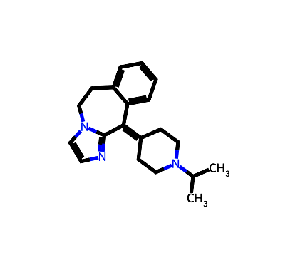 CC(C)N1CCC(=C2c3ccccc3CCn3ccnc32)CC1